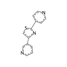 c1cncc(-c2csc(-c3ccncc3)n2)c1